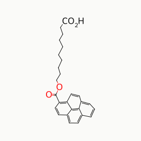 O=C(O)CCCCCCCCCOC(=O)c1ccc2ccc3cccc4ccc1c2c34